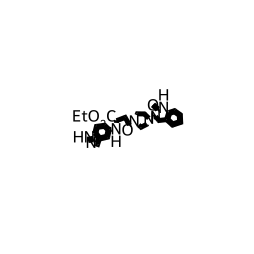 CCOC(=O)C(CC(=O)N1CCN(N2Cc3ccccc3NC2=O)CC1)Nc1ccc2[nH]ncc2c1